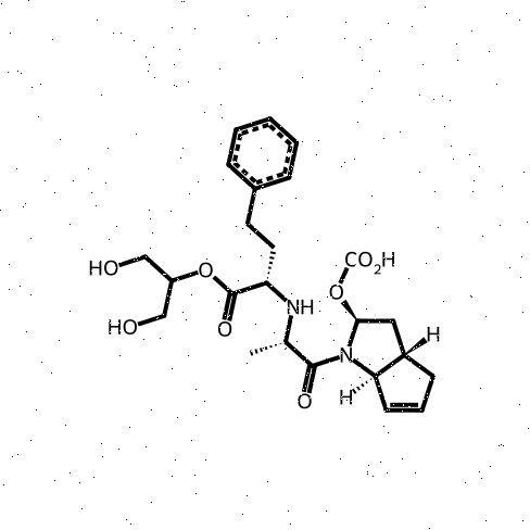 C[C@H](N[C@@H](CCc1ccccc1)C(=O)OC(CO)CO)C(=O)N1[C@@H](OC(=O)O)C[C@@H]2CC=C[C@H]21